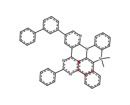 C[Si]1(C)c2ccccc2N(c2ncc(-c3cccc(-c4ccccc4)c3)cc2-c2nc(-c3ccccc3)nc(-c3ccccc3)n2)c2ccccc21